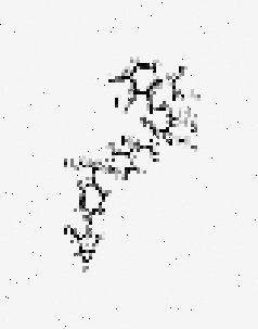 C=C(C)/C(=N\C(=C/C)c1c(C(F)P)ccc(Cl)c1P)C(=O)Nc1cnn(C(C)c2ccc(N3CC4CC4C3=O)nc2)c1